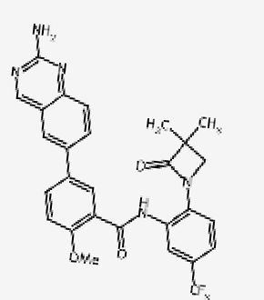 COc1ccc(-c2ccc3nc(N)ncc3c2)cc1C(=O)Nc1cc(C(F)(F)F)ccc1N1CC(C)(C)C1=O